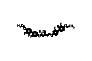 C=CC(CCOc1ccc(-c2ccc(OCC)c(F)c2F)c(F)c1)CCOc1ccc(-c2ccc(OCC)c(F)c2F)c(F)c1